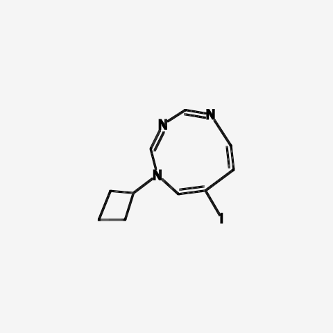 Ic1ccncncn(C2CCC2)c1